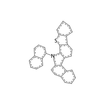 c1ccc2c(-n3c4ccc5ccccc5c4c4ccc5c6ccccc6sc5c43)cccc2c1